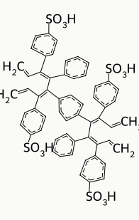 C=C/C(=C(\C(=C(/C=C)c1ccc(S(=O)(=O)O)cc1)c1ccc(C(=C(/C=C)c2ccc(S(=O)(=O)O)cc2)/C(=C(\C=C)c2ccc(S(=O)(=O)O)cc2)c2ccccc2)cc1)c1ccccc1)c1ccc(S(=O)(=O)O)cc1